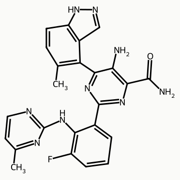 Cc1ccnc(Nc2c(F)cccc2-c2nc(C(N)=O)c(N)c(-c3c(C)ccc4[nH]ncc34)n2)n1